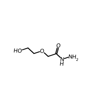 NNC(=O)COCCO